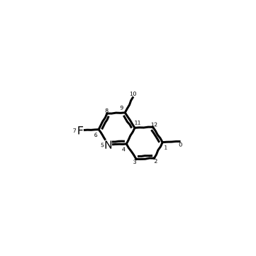 Cc1ccc2nc(F)cc(C)c2c1